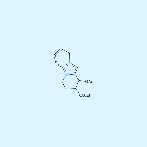 CCOC(=O)C1CCn2c(cc3ccccc32)C1OC(C)=O